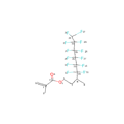 C=C(C)C(=O)OCCC(C)C(F)(F)C(F)(F)C(F)(F)C(F)(F)C(F)(F)C(F)F